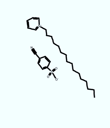 CCCCCCCCCCCCCCCC[n+]1ccccc1.N#Cc1ccc(S(=O)(=O)[O-])cc1